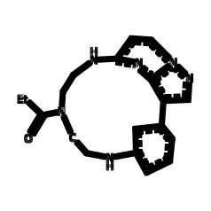 CCC(=O)N1CCNc2cccc(c2)-c2cnn3ccc(nc23)NCC1